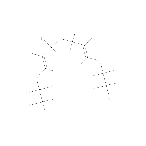 FC(OC(F)(F)C(F)(F)C(F)(F)F)=C(F)C(F)(F)OC(F)(F)C(F)=C(F)OC(F)(F)C(F)(F)C(F)(F)F